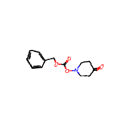 O=C1CCN(OC(=O)OCc2ccccc2)CC1